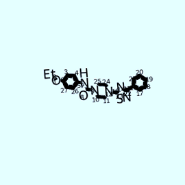 CCOc1ccc(NC(=O)N2CCN(c3nc(-c4ccccc4)ns3)CC2)cc1